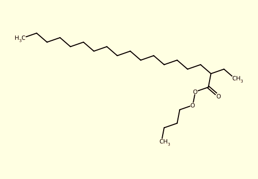 CCCCCCCCCCCCCCCCC(CC)C(=O)OOCCCC